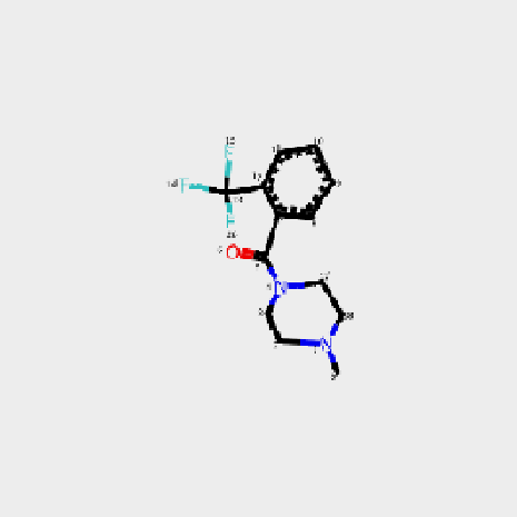 CN1CCN(C(=O)c2[c]cccc2C(F)(F)F)CC1